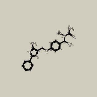 Cc1oc(-c2ccccc2)nc1COc1ccc(C(C)N(O)C(N)=O)cc1